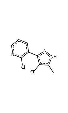 Cc1[nH]nc(-c2cccnc2Cl)c1Cl